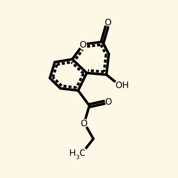 CCOC(=O)c1cccc2oc(=O)cc(O)c12